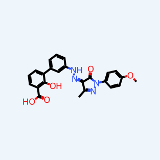 COc1ccc(N2N=C(C)C(=NNc3cccc(-c4cccc(C(=O)O)c4O)c3)C2=O)cc1